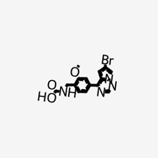 COc1cc(-c2ncnn3cc(Br)cc23)ccc1CNC(=O)O